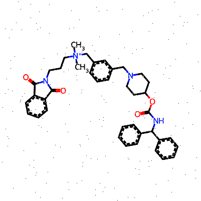 C[N+](C)(CCCN1C(=O)c2ccccc2C1=O)Cc1cccc(CN2CCC(OC(=O)NC(c3ccccc3)c3ccccc3)CC2)c1